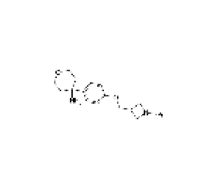 CC(C)N1CC(COc2ccc(C3(N)CCOCC3)cc2)C1